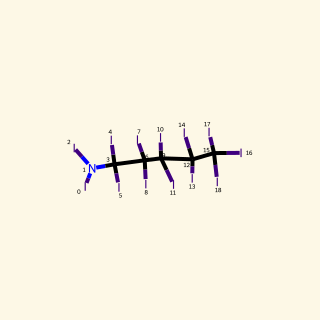 IN(I)C(I)(I)C(I)(I)C(I)(I)C(I)(I)C(I)(I)I